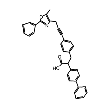 Cc1oc(-c2ccccc2)nc1CC#Cc1ccc(CC(C(=O)O)c2ccc(-c3ccccc3)cc2)cc1